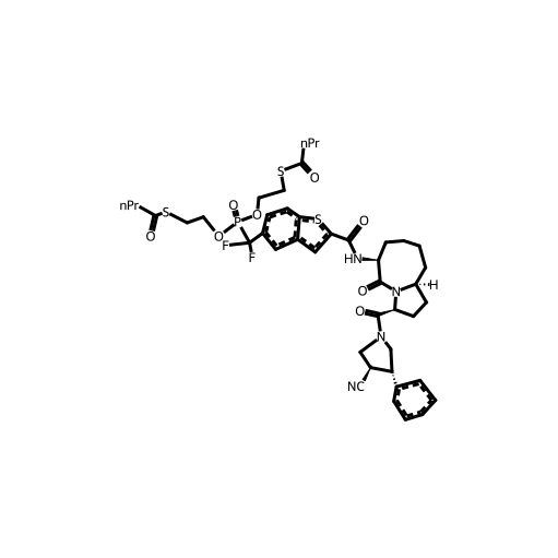 CCCC(=O)SCCOP(=O)(OCCSC(=O)CCC)C(F)(F)c1ccc2sc(C(=O)N[C@H]3CCCC[C@H]4CC[C@@H](C(=O)N5C[C@H](c6ccccc6)[C@@H](C#N)C5)N4C3=O)cc2c1